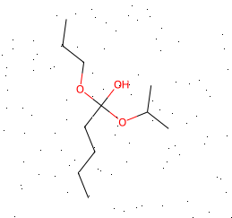 CCCCC(O)(OCCC)OC(C)C